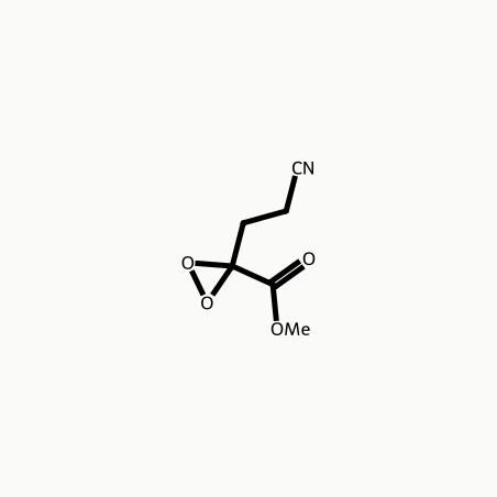 COC(=O)C1(CCC#N)OO1